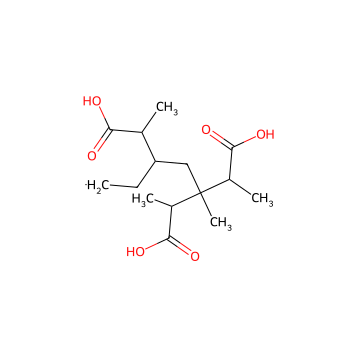 [CH2]CC(CC(C)(C(C)C(=O)O)C(C)C(=O)O)C(C)C(=O)O